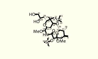 C=C1C[C@](OC)(C(O[Si](C)(C)C)C(=O)N[C@@H](OC)[C@@H]2CC(O[Si](C)(C)C)C(C)(C)[C@@H](C[C@H](O)CO)O2)O[C@H](C)[C@@H]1C